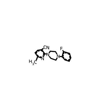 Cc1ccc(C#N)c(N2CCN(c3ccccc3F)CC2)n1